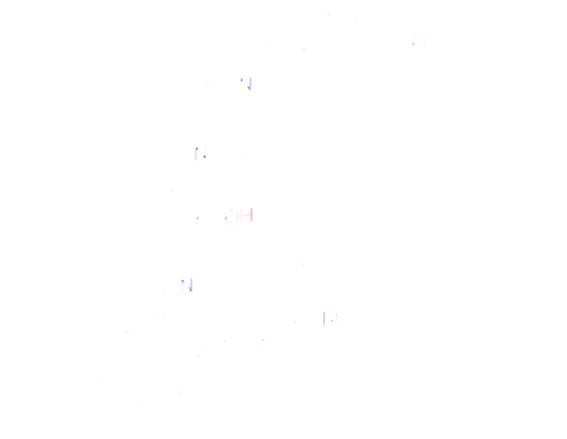 OC(CN1CCN(Cc2ccc3c(c2)OCCO3)CC1)Cn1c2ccccc2c2cc(Br)ccc21